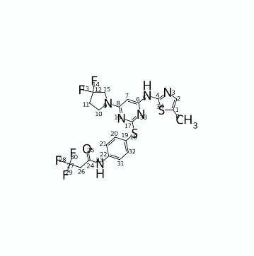 Cc1cnc(Nc2cc(N3CCC(F)(F)C3)nc(Sc3ccc(NC(=O)CC(F)(F)F)cc3)n2)s1